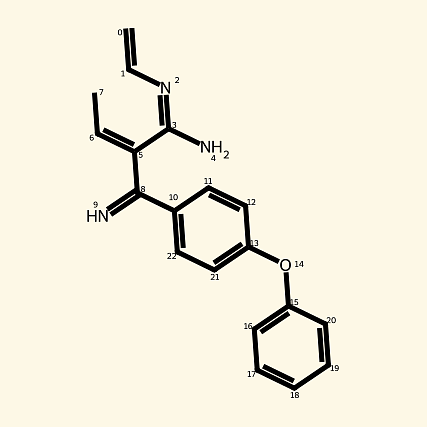 C=C/N=C(N)\C(=C/C)C(=N)c1ccc(Oc2ccccc2)cc1